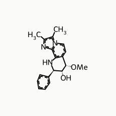 CO[C@H]1c2ccn3c(C)c(C)nc3c2N[C@H](c2ccccc2)[C@H]1O